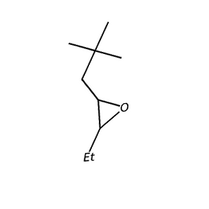 CCC1OC1CC(C)(C)C